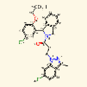 Cc1nn(CCC(=O)N2Cc3ccccc3C2c2cc(Cl)ccc2OCC(=O)O)c2cc(F)ccc12